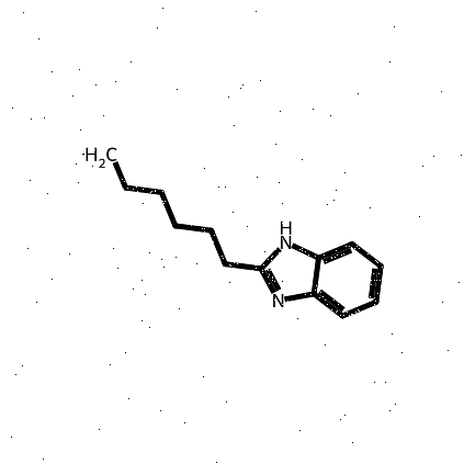 [CH2]CCCCCc1nc2ccccc2[nH]1